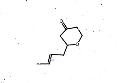 C/C=C/CC1CC(=O)CCO1